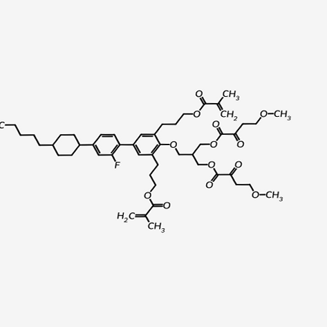 C=C(C)C(=O)OCCCc1cc(-c2ccc(C3CCC(CCCCC)CC3)cc2F)cc(CCCOC(=O)C(=C)C)c1OCC(COC(=O)C(=O)CCOC)COC(=O)C(=O)CCOC